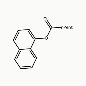 CCCCCC(=O)Oc1cccc2ccccc12